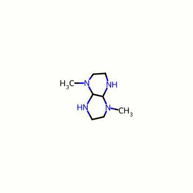 CN1CCNC2C1NCCN2C